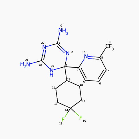 NC1=NC(c2cccc(C(F)(F)F)n2)(C2CCC(F)(F)CC2)NC(N)=N1